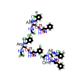 CC(=O)N(NCc1cccc(F)c1Cl)[C@@H](CNCC(F)F)COC(=O)Nc1cc(-c2cccc(F)c2)no1.CC(=O)N(NCc1cccc(F)c1Cl)[C@@H](CNCC(F)F)COC(=O)Nc1cc(-c2ccccc2)no1.CC(=O)N(NCc1cccc(F)c1Cl)[C@@H](CNCC(F)F)CON(C=O)c1cc(-c2ccccc2)on1